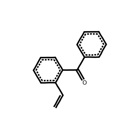 C=Cc1ccccc1C(=O)c1ccccc1